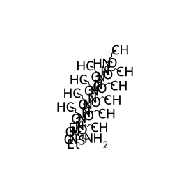 C#CCCCC(=O)NCCN(CCN(CCN(CCN(CCN(CCN(CCN(CCN(CCN(CCN(CCN(CCSCCN)C(=O)CC)C(=O)CC)C(=O)CCCC#C)C(=O)CCCC#C)C(=O)CCCC#C)C(=O)CCCC#C)C(=O)CCCC#C)C(=O)CCCC#C)C(=O)CCCC#C)C(=O)CCCC#C)C(=O)CCCC#C